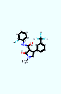 CN1CC(c2cccc(C(F)(F)F)c2)C(C(=O)Nc2ccccc2F)C1=O